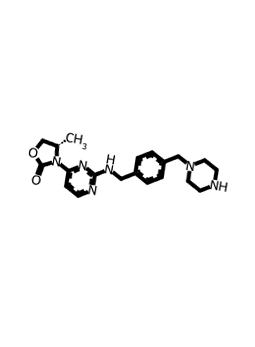 C[C@H]1COC(=O)N1c1ccnc(NCc2ccc(CN3CCNCC3)cc2)n1